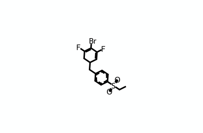 CCS(=O)(=O)c1ccc(CC2C=C(F)C(Br)=C(F)C2)cc1